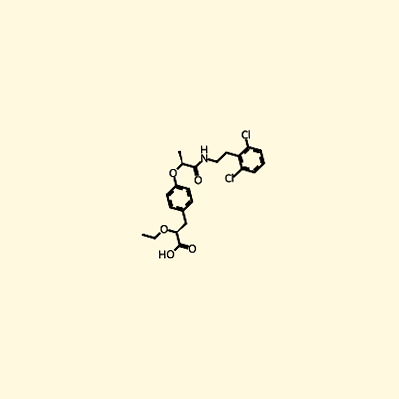 CCO[C@@H](Cc1ccc(O[C@@H](C)C(=O)NCCc2c(Cl)cccc2Cl)cc1)C(=O)O